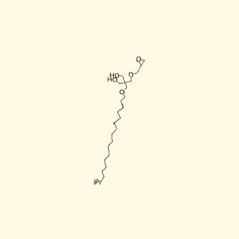 CC(C)CCCCCCCCCCCCCCCOCC(CO)(CO)COCC1CO1